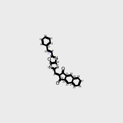 O=C1C(=Cc2nc3oc(/C=C/c4ccccc4)nc3s2)C(=O)c2cc3ccccc3cc21